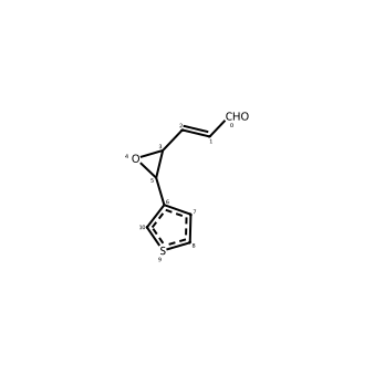 O=CC=CC1OC1c1ccsc1